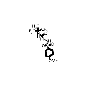 COc1ccc(S(=O)(=O)NNC(=O)NC(C)(C(F)(F)F)C(F)(F)F)cc1